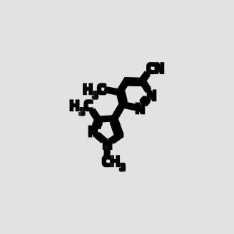 Cc1cc(C#N)nnc1-c1cn(C)nc1C